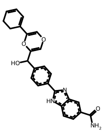 NC(=O)c1ccc2[nH]c(-c3ccc(C(O)C4=COC=C(C5=CC=CCC5)O4)cc3)nc2c1